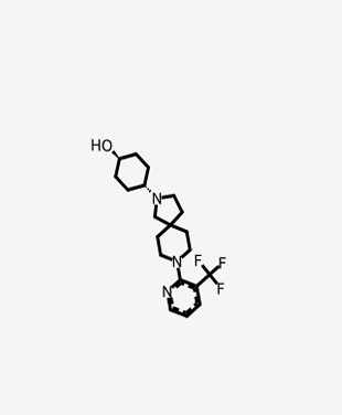 O[C@H]1CC[C@H](N2CCC3(CCN(c4ncccc4C(F)(F)F)CC3)C2)CC1